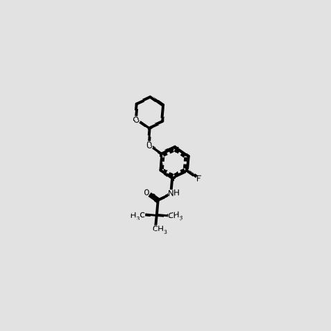 CC(C)(C)C(=O)Nc1cc(OC2CCCCO2)ccc1F